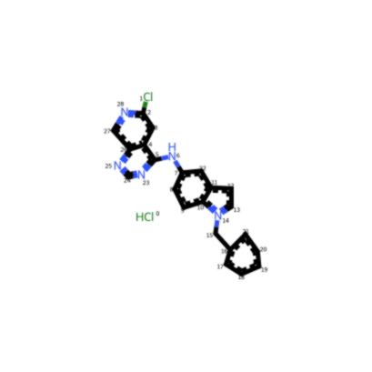 Cl.Clc1cc2c(Nc3ccc4c(ccn4Cc4ccccc4)c3)ncnc2cn1